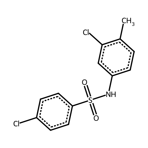 Cc1ccc(NS(=O)(=O)c2ccc(Cl)cc2)cc1Cl